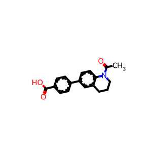 CC(=O)N1CCCc2cc(-c3ccc(C(=O)O)cc3)ccc21